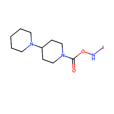 O=C(ONI)N1CCC(N2CCCCC2)CC1